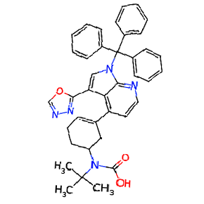 CC(C)(C)N(C(=O)O)C1CCC=C(c2ccnc3c2c(-c2nnco2)cn3C(c2ccccc2)(c2ccccc2)c2ccccc2)C1